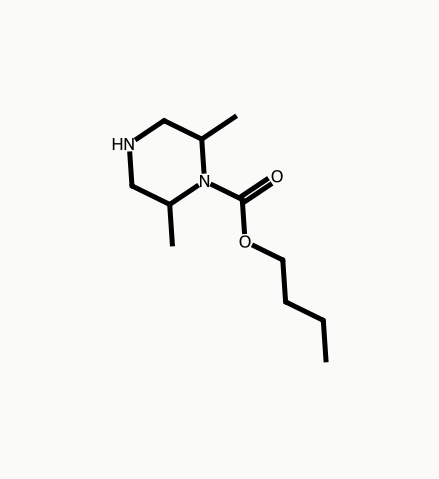 CCCCOC(=O)N1C(C)CNCC1C